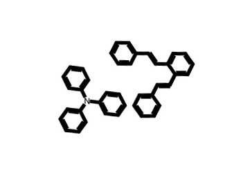 C(=C\c1ccccc1/C=C/c1ccccc1)/c1ccccc1.c1ccc(N(c2ccccc2)c2ccccc2)cc1